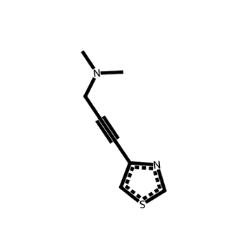 CN(C)CC#Cc1cscn1